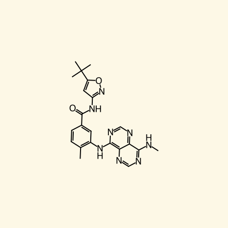 CNc1ncnc2c(Nc3cc(C(=O)Nc4cc(C(C)(C)C)on4)ccc3C)ncnc12